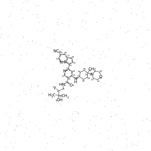 CC(C)(O)C(F)CNC(=O)c1cnc(-c2ccc3cc(C#N)cnn23)cc1NC1CCC(C)(N2CCOCC2)CC1